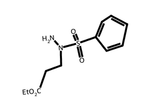 CCOC(=O)CCN(N)S(=O)(=O)c1ccccc1